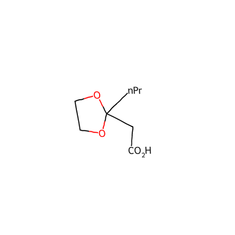 CCCC1(CC(=O)O)OCCO1